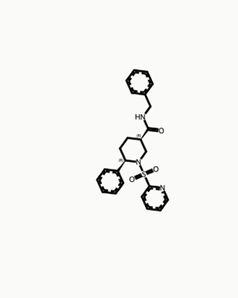 O=C(NCc1ccccc1)[C@@H]1CC[C@H](c2ccccc2)N(S(=O)(=O)c2ccccn2)C1